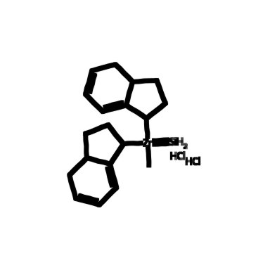 Cl.Cl.[CH3][Zr](=[SiH2])([CH]1CCC2CC=CC=C21)[CH]1CCC2CC=CC=C21